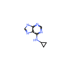 C1=Nc2c(ncnc2NC2CC2)[N]1